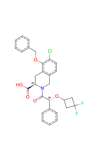 O=C(O)[C@H]1Cc2c(ccc(Cl)c2OCc2ccccc2)CN1C(=O)[C@H](OC1CC(F)(F)C1)c1ccccc1